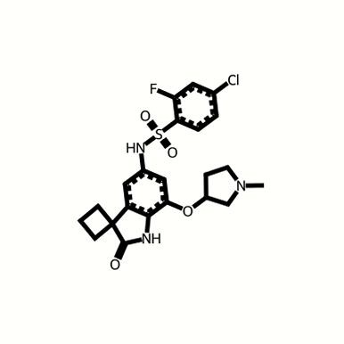 CN1CCC(Oc2cc(NS(=O)(=O)c3ccc(Cl)cc3F)cc3c2NC(=O)C32CCC2)C1